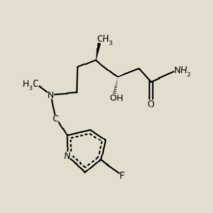 C[C@H](CCN(C)Cc1ccc(F)cn1)[C@@H](O)CC(N)=O